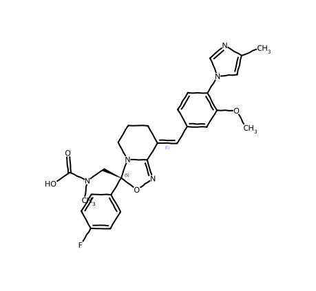 COc1cc(/C=C2\CCCN3C2=NO[C@]3(CN(C)C(=O)O)c2ccc(F)cc2)ccc1-n1cnc(C)c1